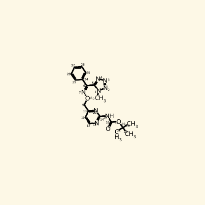 Cn1nnnc1C(=NOCc1ccnc(NC(=O)OC(C)(C)C)n1)c1ccccc1